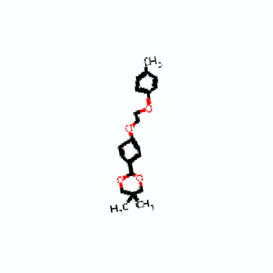 Cc1ccc(OCCOc2ccc(C3OCC(C)(C)CO3)cc2)cc1